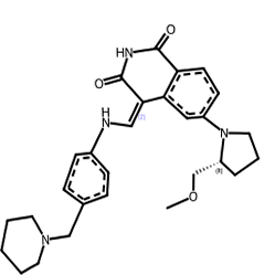 COC[C@H]1CCCN1c1ccc2c(c1)/C(=C/Nc1ccc(CN3CCCCC3)cc1)C(=O)NC2=O